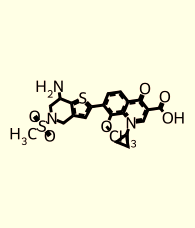 COc1c(-c2cc3c(s2)C(N)CN(S(C)(=O)=O)C3)ccc2c(=O)c(C(=O)O)cn(C3CC3)c12